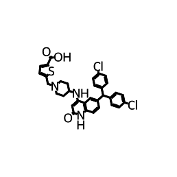 O=C(O)c1ccc(CN2CCC(Nc3cc(=O)[nH]c4ccc(C(c5ccc(Cl)cc5)c5ccc(Cl)cc5)cc34)CC2)s1